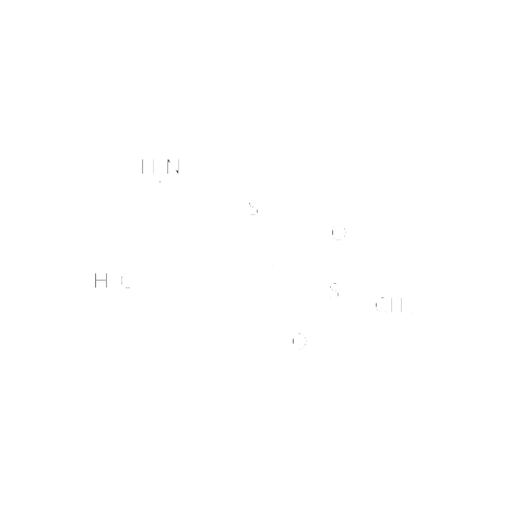 Cc1cc(S(C)(=O)=O)sc1N